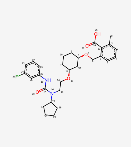 Cc1cccc(CO[C@@H]2CCC[C@H](OCCN(C(=O)Nc3cccc(F)c3)C3CCCC3)C2)c1C(=O)O